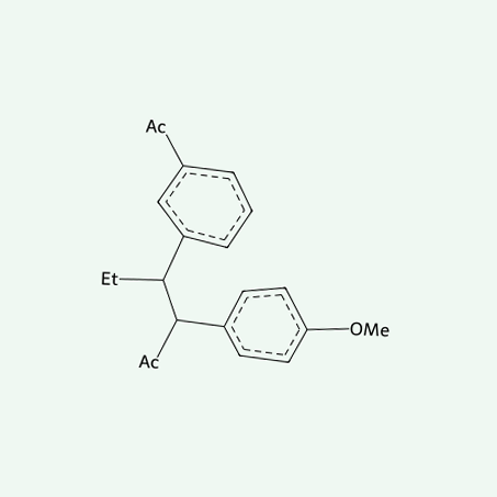 CCC(c1cccc(C(C)=O)c1)C(C(C)=O)c1ccc(OC)cc1